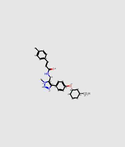 Cc1ccc(/C=C/C(=O)NCc2c(-c3ccc(O[C@H]4CCC[C@H](C(=O)O)C4)cc3)nnn2C)cc1